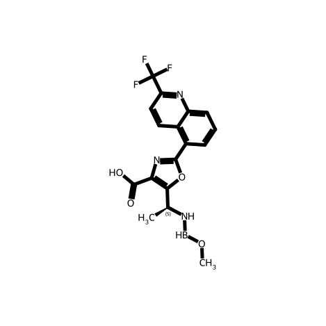 COBN[C@@H](C)c1oc(-c2cccc3nc(C(F)(F)F)ccc23)nc1C(=O)O